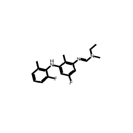 CCN(C)C=Nc1cc(F)cc(Nc2c(C)cccc2F)c1C